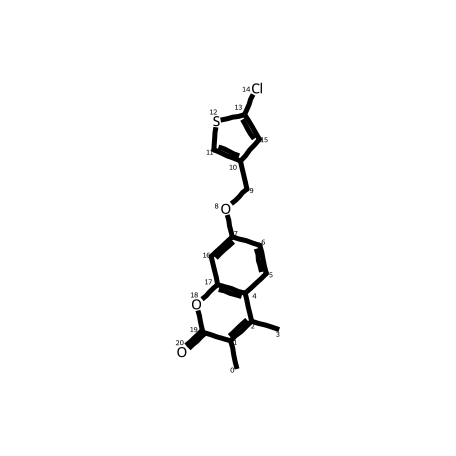 Cc1c(C)c2ccc(OCc3csc(Cl)c3)cc2oc1=O